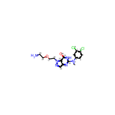 CN(c1ccc(Cl)c(Cl)c1)c1nc2cnn(CCOCCN)c2c(=O)[nH]1